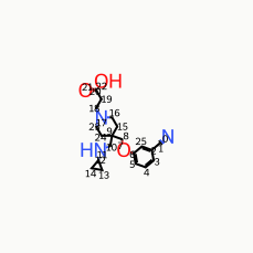 N#Cc1cccc(OCC2(CNC3CC3)CCN(CCC(=O)O)CC2)c1